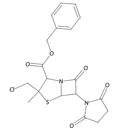 CC1(CCl)SC2C(N3C(=O)CCC3=O)C(=O)N2C1C(=O)OCc1ccccc1